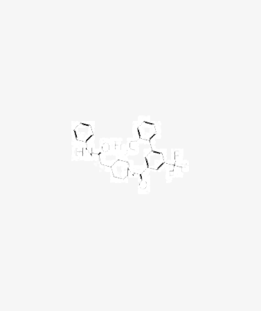 Cc1ccccc1-c1cc(C(=O)N2CCC(CC(=O)Nc3ccccc3)CC2)cc(C(F)(F)F)c1